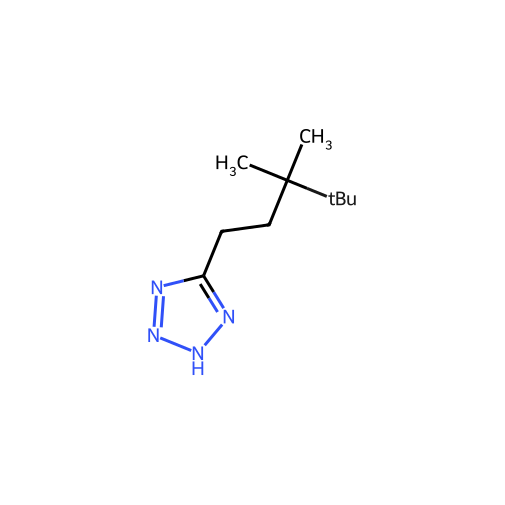 CC(C)(C)C(C)(C)CCc1nn[nH]n1